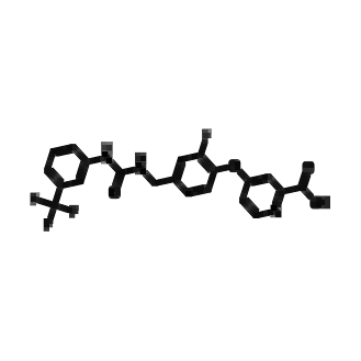 O=C(NCc1ccc(Oc2ccnc(C(=O)O)c2)c(F)c1)Nc1cccc(C(F)(F)F)c1